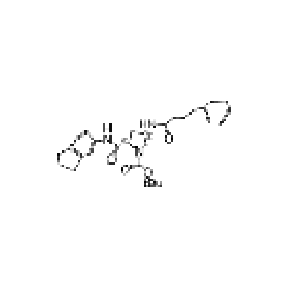 CC(C)(C)OC(=O)N1C[C@@H](NC(=O)CCCc2ccccc2)C[C@H]1C(=O)Nc1ccc2c(c1)CCC2